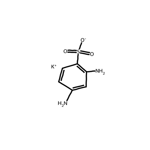 Nc1ccc(S(=O)(=O)[O-])c(N)c1.[K+]